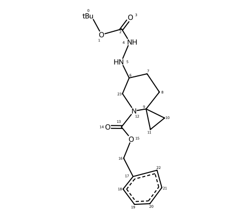 CC(C)(C)OC(=O)NNC1CCC2(CC2)N(C(=O)OCc2ccccc2)C1